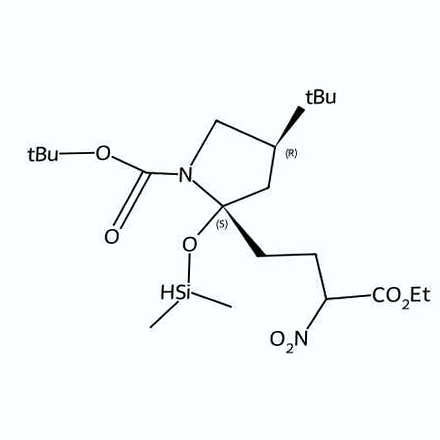 CCOC(=O)C(CC[C@]1(O[SiH](C)C)C[C@H](C(C)(C)C)CN1C(=O)OC(C)(C)C)[N+](=O)[O-]